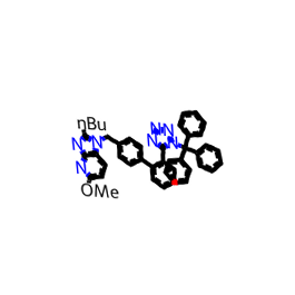 CCCCc1nc2nc(OC)ccc2n1Cc1ccc(-c2ccccc2-c2nnnn2C(c2ccccc2)(c2ccccc2)c2ccccc2)cc1